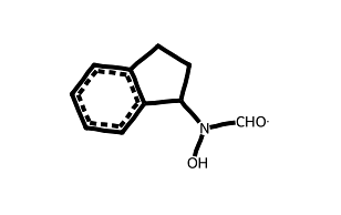 O=[C]N(O)C1CCc2ccccc21